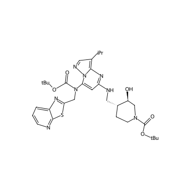 CC(C)c1cnn2c(N(Cc3nc4cccnc4s3)C(=O)OC(C)(C)C)cc(NC[C@H]3CCN(C(=O)OC(C)(C)C)C[C@@H]3O)nc12